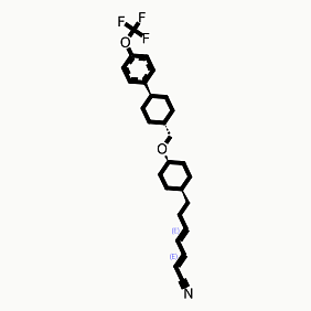 N#C/C=C/C=C/CC[C@H]1CC[C@H](OC[C@H]2CC[C@H](c3ccc(OC(F)(F)F)cc3)CC2)CC1